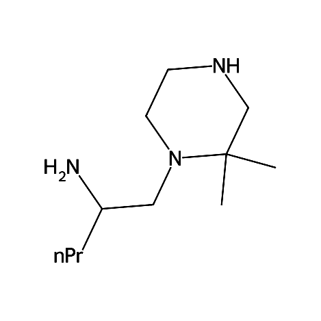 CCCC(N)CN1CCNCC1(C)C